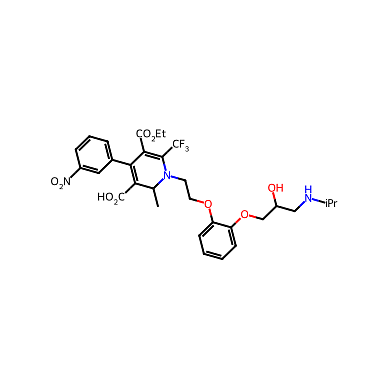 CCOC(=O)C1=C(C(F)(F)F)N(CCOc2ccccc2OCC(O)CNC(C)C)C(C)C(C(=O)O)=C1c1cccc([N+](=O)[O-])c1